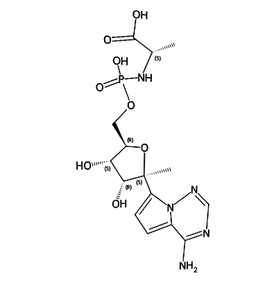 C[C@H](NP(=O)(O)OC[C@H]1O[C@@](C)(c2ccc3c(N)ncnn23)[C@H](O)[C@@H]1O)C(=O)O